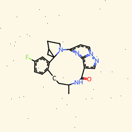 CC1CCc2ccc(F)cc2C23CC2CCN3c2ccn3ncc(c3n2)C(=O)N1